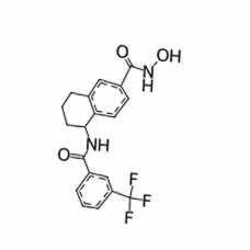 O=C(NO)c1ccc2c(c1)CCCC2NC(=O)c1cccc(C(F)(F)F)c1